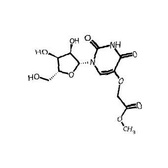 COC(=O)COc1cn([C@@H]2O[C@H](CO)[C@@H](O)[C@H]2O)c(=O)[nH]c1=O